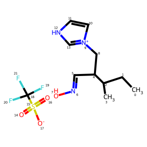 CCC(C)C(C=NO)C[n+]1cc[nH]c1.O=S(=O)([O-])C(F)(F)F